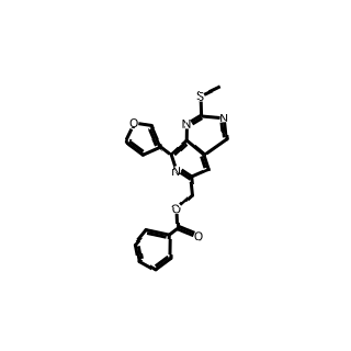 CSc1ncc2cc(COC(=O)c3ccccc3)nc(-c3ccoc3)c2n1